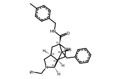 Cc1ccc(CNC(=O)[C@@]23C[C@@H]4CN(CC(C)C)[C@@H]([C@@H]4CN2)[C@H]3Cc2ccccc2)cc1